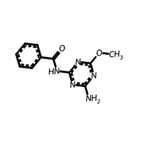 COc1nc(N)nc(NC(=O)c2ccccc2)n1